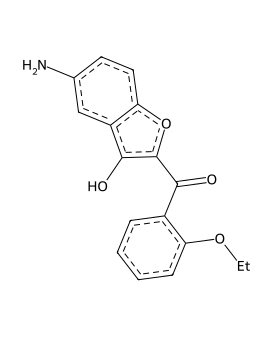 CCOc1ccccc1C(=O)c1oc2ccc(N)cc2c1O